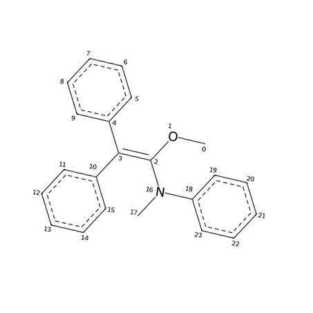 COC(=C(c1ccccc1)c1ccccc1)N(C)c1ccccc1